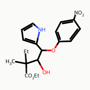 CCOC(=O)C(C)(CC)C(O)C(Oc1ccc([N+](=O)[O-])cc1)c1ccc[nH]1